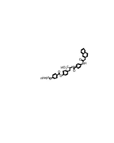 CCCCCCCOc1ccc(C(=O)Oc2ccc(C[C@H](NC(=O)c3ccc(NC(=O)Cc4ccc5ccccc5c4)cc3)C(=O)O)cc2)cc1